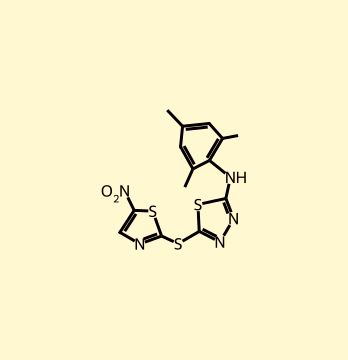 Cc1cc(C)c(Nc2nnc(Sc3ncc([N+](=O)[O-])s3)s2)c(C)c1